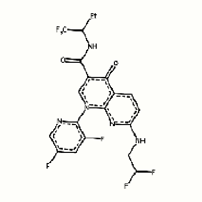 CCC(NC(=O)c1cn(-c2ncc(F)cc2F)c2nc(NCC(F)F)ccc2c1=O)C(F)(F)F